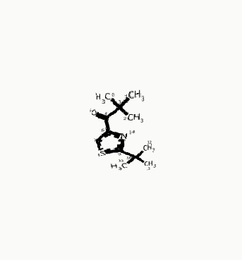 CC(C)(C)C(=O)c1csc(C(C)(C)C)n1